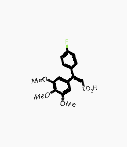 COc1cc(/C(=C\C(=O)O)c2ccc(F)cc2)cc(OC)c1OC